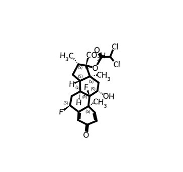 C[C@H]1C[C@H]2[C@@H]3C[C@H](F)C4=CC(=O)C=C[C@]4(C)[C@@]3(F)[C@@H](O)C[C@]2(C)[C@]1(OC(=O)C(Cl)Cl)C(=O)O